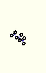 c1ccc(-n2c3ccccc3c3c2ccc2c4ccc(-n5c6ccccc6c6ccccc65)cc4n(-c4ccccc4)c23)cc1